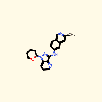 Cc1cc2cc(Nc3nn(C4CCCCO4)c4cccnc34)ccc2cn1